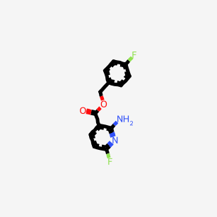 Nc1nc(F)ccc1C(=O)OCc1ccc(F)cc1